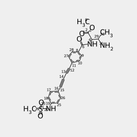 COC(=O)C(NC(=O)c1ccc(C#CC#Cc2ccc(NS(C)(=O)=O)cc2)cc1)C(C)N